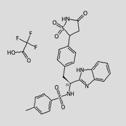 Cc1ccc(S(=O)(=O)N[C@@H](Cc2ccc(C3CC(=O)NS3(=O)=O)cc2)c2nc3ccccc3[nH]2)cc1.O=C(O)C(F)(F)F